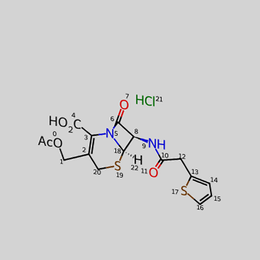 CC(=O)OCC1=C(C(=O)O)N2C(=O)[C@@H](NC(=O)Cc3cccs3)[C@H]2SC1.Cl